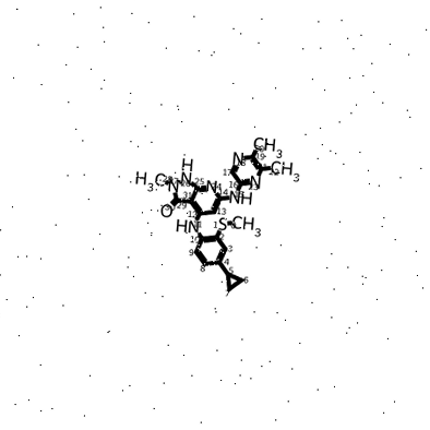 CSc1cc(C2CC2)ccc1Nc1cc(Nc2cnc(C)c(C)n2)nc2[nH]n(C)c(=O)c12